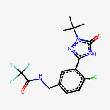 CC(C)(C)n1nc(-c2cc(CNC(=O)C(F)(F)F)ccc2Cl)[nH]c1=O